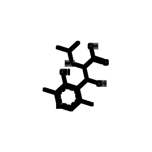 Cc1cnc(C)c(O)c1C(O)C(NC(C)C)C(=O)O